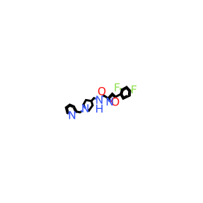 O=C(NCC1CCN(Cc2ccccn2)CC1)c1cc(-c2ccc(F)cc2F)on1